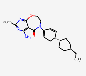 CCCCCCCCc1nc(N)c2c(n1)OCCN(C1=CCC([C@H]3CC[C@H](CC(=O)O)CC3)C=C1)C2=O